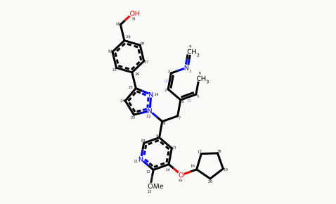 C=N/C=C\C(=C/C)CC(c1cnc(OC)c(OC2CCCC2)c1)n1ccc(-c2ccc(CO)cc2)n1